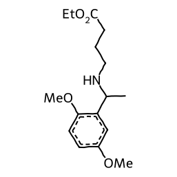 CCOC(=O)CCCNC(C)c1cc(OC)ccc1OC